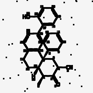 C[C@@H]1C(=O)C(C#N)C[C@]2(c3ccccc3)c3nc(-c4ccccc4O)ncc3CC[C@@H]12